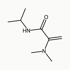 C=C(C(=O)NC(C)C)N(C)C